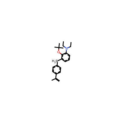 C=C(C)c1ccc([SiH2]c2cccc(N(CC)CC)c2OC(C)(C)C)cc1